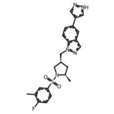 Cc1cc(S(=O)(=O)N2C[C@@H](Cn3ncc4cc(-c5cn[nH]c5)ccc43)C[C@H]2C)ccc1F